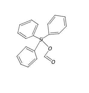 O=CO[Si](c1ccccc1)(c1ccccc1)c1ccccc1